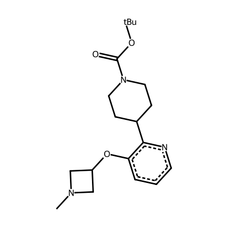 CN1CC(Oc2cccnc2C2CCN(C(=O)OC(C)(C)C)CC2)C1